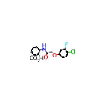 O=C(COc1ccc(Cl)c(F)c1)Nc1ccccc1C(=O)O